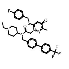 CCN1CCC(N(Cc2ccc(-c3ccc(C(F)(F)F)cc3)cc2)C(=O)Cn2nc(C)c(=O)cc2SCc2ccc(F)cc2)CC1